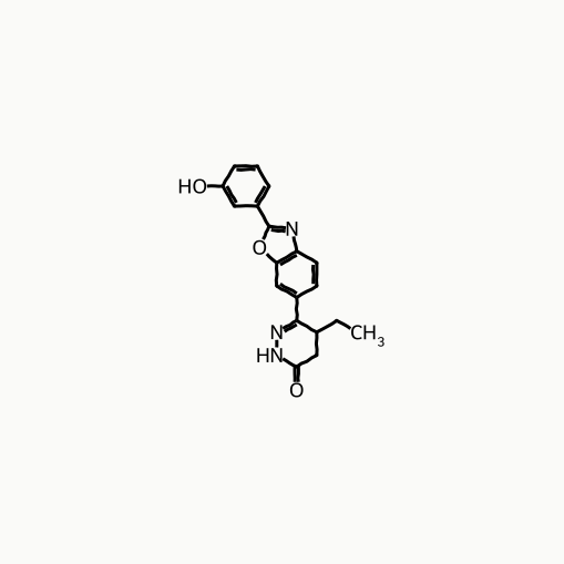 CCC1CC(=O)NN=C1c1ccc2nc(-c3cccc(O)c3)oc2c1